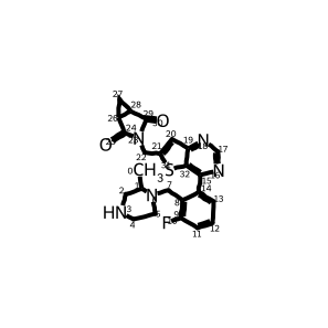 CC1CNCCN1Cc1c(F)cccc1-c1ncnc2cc(CN3C(=O)C4CC4C3=O)sc12